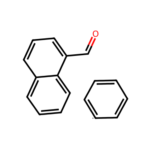 O=Cc1cccc2ccccc12.[c]1ccccc1